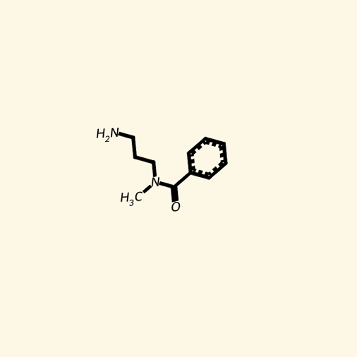 CN(CCCN)C(=O)c1ccccc1